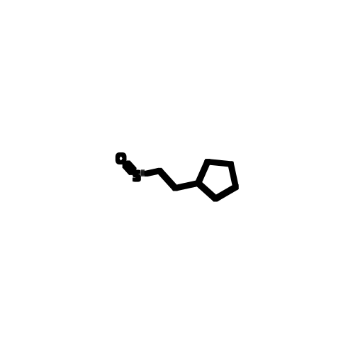 O=[S+]CCC1CCCC1